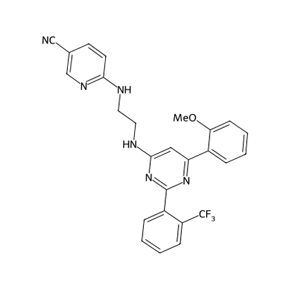 COc1ccccc1-c1cc(NCCNc2ccc(C#N)cn2)nc(-c2ccccc2C(F)(F)F)n1